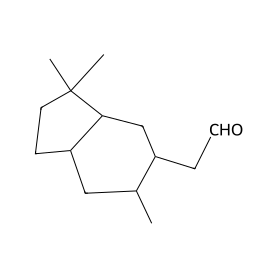 CC1CC2CCC(C)(C)C2CC1CC=O